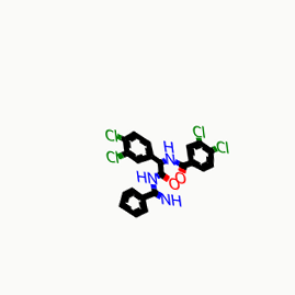 N=C(NC(=O)C(NC(=O)c1ccc(Cl)c(Cl)c1)c1ccc(Cl)c(Cl)c1)c1ccccc1